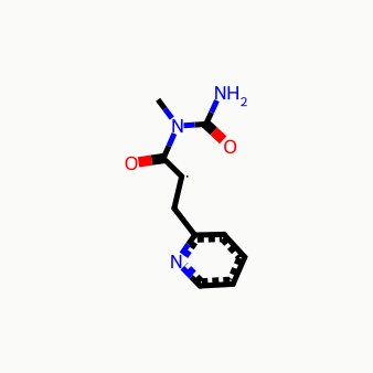 CN(C(N)=O)C(=O)[CH]Cc1ccccn1